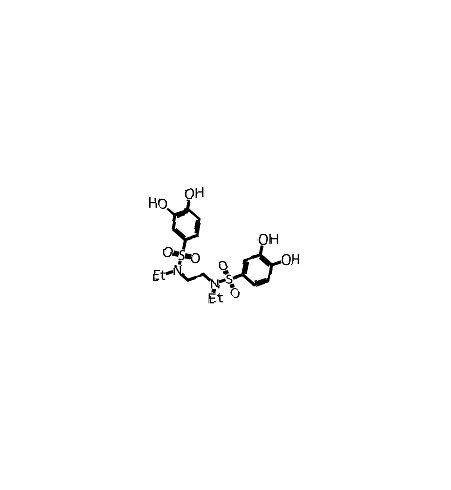 CCN(CCN(CC)S(=O)(=O)c1ccc(O)c(O)c1)S(=O)(=O)c1ccc(O)c(O)c1